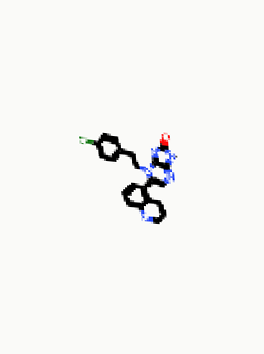 O=C1[N]C2=NC=C(c3cccc4ncccc34)N(CCc3ccc(Cl)cc3)C2=N1